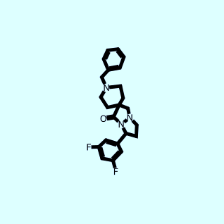 O=C1N2C(c3cc(F)cc(F)c3)CCN2CC12CCN(Cc1ccccc1)CC2